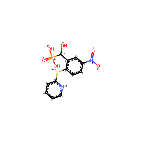 O=[N+]([O-])c1ccc(Sc2ccccn2)c(C(O)P(=O)(O)O)c1